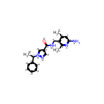 Cc1cc(N)nc(C)c1CNC(=O)c1cnn(C(C)c2ccccc2)c1